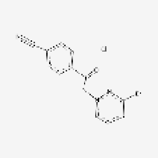 N#Cc1ccc(C(=O)C[n+]2cccc(Br)n2)cc1.[Cl-]